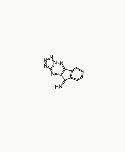 N=C1c2ccccc2-c2nn3nnnc3nc21